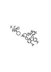 Cn1c(-c2cc(F)ccc2Oc2cncnc2N2CC3(CCN(C[C@H]4CC[C@H](NC(=O)C(F)(F)F)CC4)CC3)C2)c(C2CC2)ccc1=O